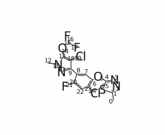 Cc1nnc(Oc2cc(-c3nn(C)c(OC(F)F)c3Cl)c(F)cc2Cl)s1